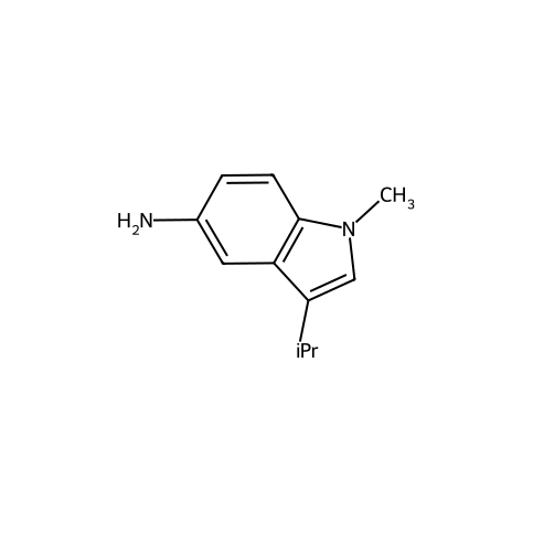 CC(C)c1cn(C)c2ccc(N)cc12